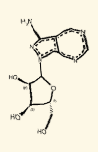 Nc1nn(C2O[C@H](CO)[C@@H](O)[C@H]2O)c2ncncc12